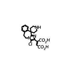 O=C(O)/C=C(\C(=O)O)c1nc2n(c1Cl)CCc1ccccc1C21CCNCC1